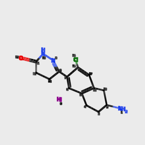 I.NC1CCc2cc(C3=NNC(=O)CC3)c(Cl)cc2C1